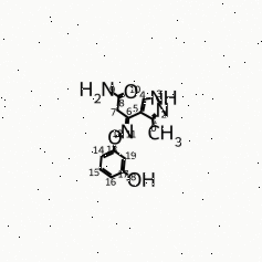 Cc1n[nH]cc1/C(CC(N)=O)=N/Oc1cccc(O)c1